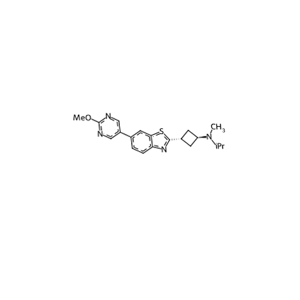 COc1ncc(-c2ccc3nc([C@H]4C[C@H](N(C)C(C)C)C4)sc3c2)cn1